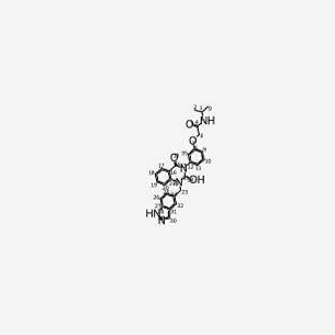 CC(C)NC(=O)COc1cccc(N2C(=O)c3ccccc3N(Cc3ccc4[nH]ncc4c3)C2O)c1